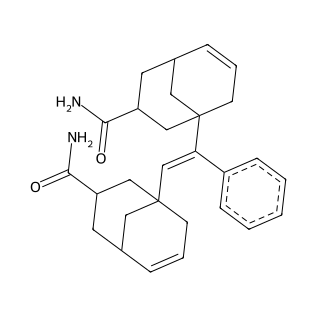 NC(=O)C1CC2C=CCC(C=C(c3ccccc3)C34CC=CC(CC(C(N)=O)C3)C4)(C2)C1